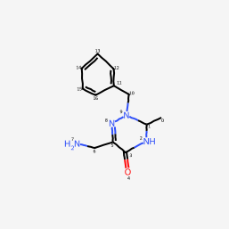 CC1NC(=O)C(CN)=NN1Cc1ccccc1